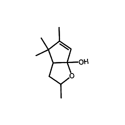 CC1=CC2(O)OC(C)CC2C1(C)C